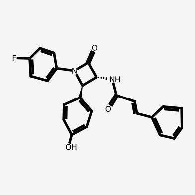 O=C(/C=C/c1ccccc1)N[C@H]1C(=O)N(c2ccc(F)cc2)[C@@H]1c1ccc(O)cc1